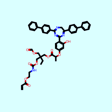 C=CC(=O)OCCNC(=O)OCC(CC)(COC=O)COC(=O)C(C)Oc1ccc(C2=NC(c3ccc(-c4ccccc4)cc3)=NCC(c3ccc(-c4ccccc4)cc3)=N2)c(O)c1